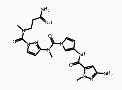 CN(CCC(=N)N)C(=O)n1ccc(N(C)C(=O)n2ccc(NC(=O)c3cc(N)nn3C)c2)n1